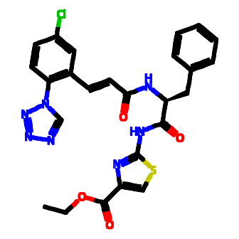 CCOC(=O)c1csc(NC(=O)[C@H](Cc2ccccc2)NC(=O)C=Cc2cc(Cl)ccc2-n2cnnn2)n1